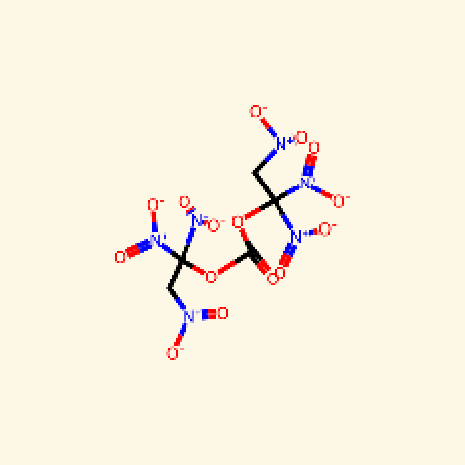 O=C(OC(C[N+](=O)[O-])([N+](=O)[O-])[N+](=O)[O-])OC(C[N+](=O)[O-])([N+](=O)[O-])[N+](=O)[O-]